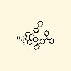 CC1(C)c2ccccc2-c2c(N(c3ccc(C4CCCCC4)cc3)c3ccc(C4(c5ccc(N(c6ccccc6)c6ccccc6)cc5)CC5CCC4C5)cc3)cccc21